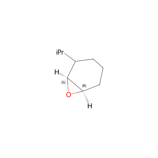 CC(C)C1CCC[C@H]2O[C@@H]12